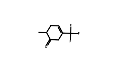 CC1CC=C(C(F)(F)F)CC1=O